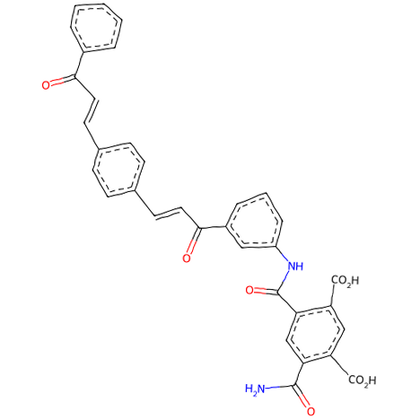 NC(=O)c1cc(C(=O)Nc2cccc(C(=O)C=Cc3ccc(C=CC(=O)c4ccccc4)cc3)c2)c(C(=O)O)cc1C(=O)O